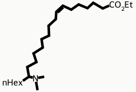 CCCCCCC(CCCCCCCC/C=C\CCCCCC(=O)OCC)N(C)C